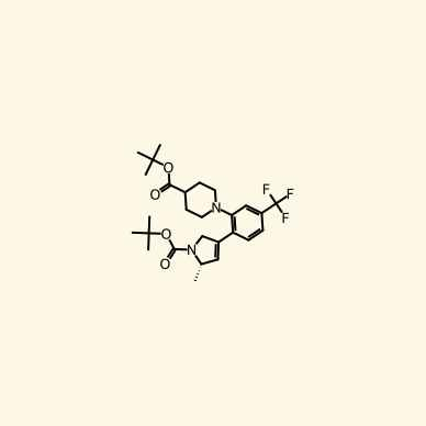 C[C@H]1C=C(c2ccc(C(F)(F)F)cc2N2CCC(C(=O)OC(C)(C)C)CC2)CN1C(=O)OC(C)(C)C